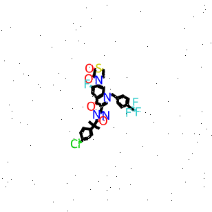 CC(C)(c1ccc(Cl)cc1)c1nc(-c2cn(Cc3ccc(C(F)(F)F)cc3)c3cc(N4CCSC(=O)C4=O)c(F)cc3c2=O)no1